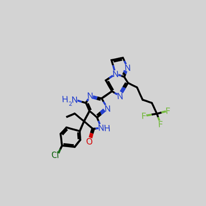 CCC1(c2ccc(Cl)cc2)C(=O)Nc2nc(-c3cn4ccnc4c(CCCC(F)(F)F)n3)nc(N)c21